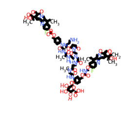 C=C1OCc2c(cc3n(c2=O)Cc2c-3nc3cc(F)c(OCNC(=O)OCc4ccc(O[C@@H]5O[C@H](C(=O)O)[C@@H](O)[C@H](O)[C@H]5O)c(NC(=O)CN(C)C(=O)CCNC(=O)CN(CCN5C(=O)C=CC5=O)CC(=O)N[C@@H](C)C(=O)N[C@@H](CCCCN)C(=O)Nc5ccc(COC(=O)Oc6cc7c(CC)c8c(nc7cc6F)-c6cc7c(c(=O)n6C8)COC(=O)[C@]7(O)CC)cc5)c4)cc3c2CC)[C@@]1(O)CC